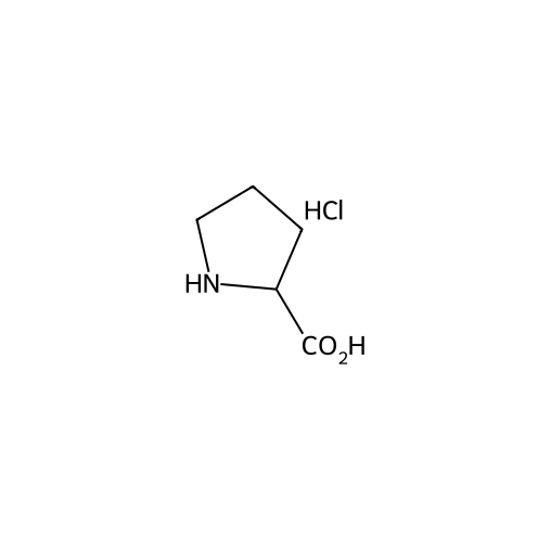 Cl.O=C(O)C1CCCN1